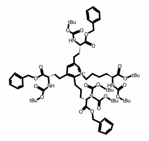 CC(C)(C)OC(=O)N[C@@H](CCc1cc(CC[C@H](NC(=O)OC(C)(C)C)C(=O)OCc2ccccc2)c(CCC[C@@H](C(=O)OCc2ccccc2)N(C(=O)OC(C)(C)C)C(=O)OC(C)(C)C)[n+](CCCC[C@H](NC(=O)OC(C)(C)C)C(=O)OC(C)(C)C)c1)C(=O)OCc1ccccc1